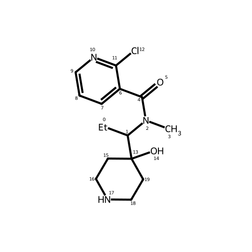 CCC(N(C)C(=O)c1cccnc1Cl)C1(O)CCNCC1